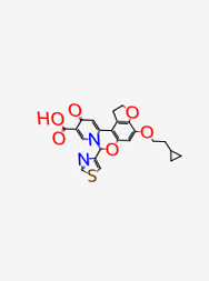 O=C(O)c1cn2c(cc1=O)-c1c(cc(OCCC3CC3)c3c1CCO3)OC2c1cscn1